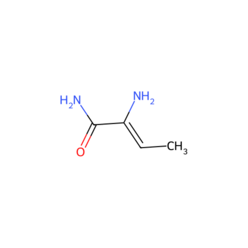 CC=C(N)C(N)=O